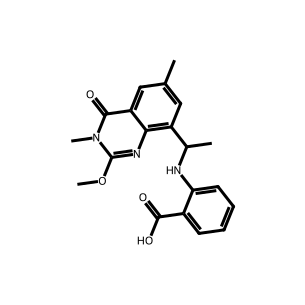 COc1nc2c(C(C)Nc3ccccc3C(=O)O)cc(C)cc2c(=O)n1C